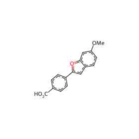 COc1ccc2cc(-c3ccc(C(=O)O)cc3)oc2c1